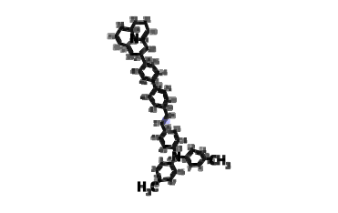 Cc1ccc(N(c2ccc(C)cc2)c2ccc(/C=C/c3ccc(-c4ccc(C5=CC6=CC=CC7=CC=CC(=C5)N76)cc4)cc3)cc2)cc1